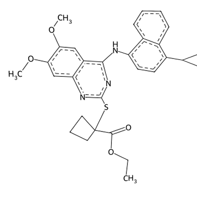 CCOC(=O)C1(Sc2nc(Nc3ccc(C4CC4)c4ccccc34)c3cc(OC)c(OC)cc3n2)CCC1